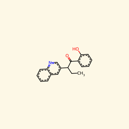 CCC(C(=O)c1ccccc1O)c1cnc2ccccc2c1